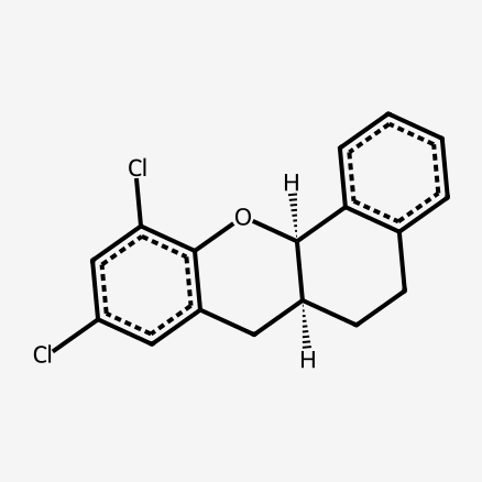 Clc1cc(Cl)c2c(c1)C[C@@H]1CCc3ccccc3[C@@H]1O2